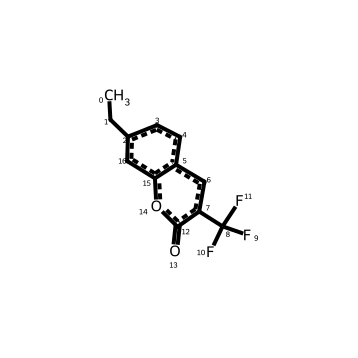 CCc1ccc2cc(C(F)(F)F)c(=O)oc2c1